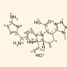 Cl.Cn1nnnc1C1=C(C(=O)O)N2C(=O)[C@](C=S)(NC(=O)C(N)c3csc(N)n3)[C@H]2SC1